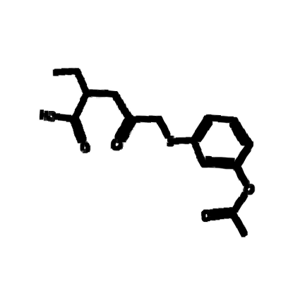 CCC(CC(=O)CSc1cccc(OC(C)=O)c1)C(=O)O